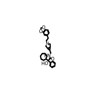 O=C(NCC1C2CN(CCc3ccc4c(c3)OCO4)CC12)C(O)(c1ccccc1)C1CCCCCC1